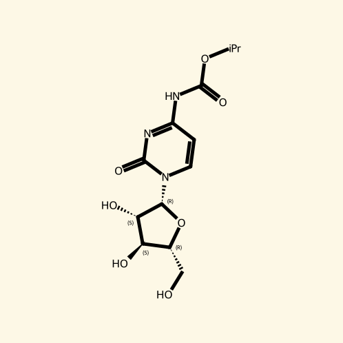 CC(C)OC(=O)Nc1ccn([C@@H]2O[C@H](CO)[C@@H](O)[C@@H]2O)c(=O)n1